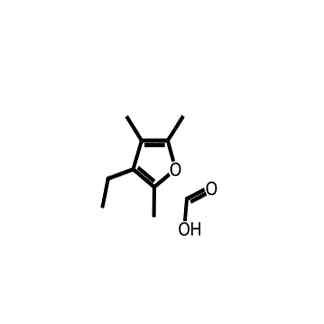 CCc1c(C)oc(C)c1C.O=CO